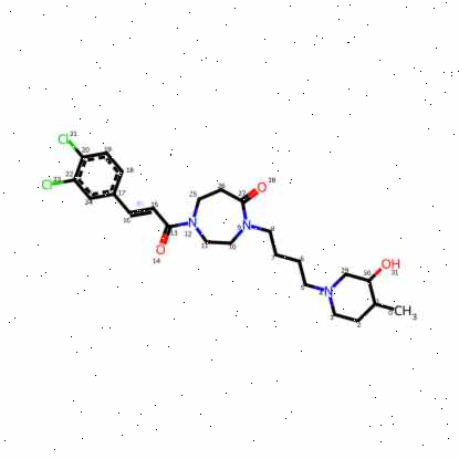 CC1CCN(CCCCN2CCN(C(=O)/C=C/c3ccc(Cl)c(Cl)c3)CCC2=O)CC1O